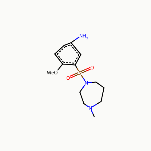 COc1ccc(N)cc1S(=O)(=O)N1CCCN(C)CC1